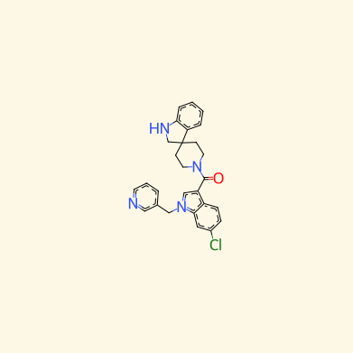 O=C(c1cn(Cc2cccnc2)c2cc(Cl)ccc12)N1CCC2(CC1)CNc1ccccc12